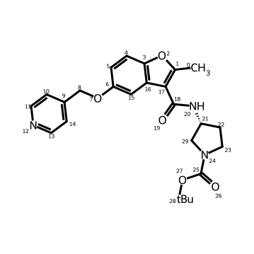 Cc1oc2ccc(OCc3ccncc3)cc2c1C(=O)N[C@@H]1CCN(C(=O)OC(C)(C)C)C1